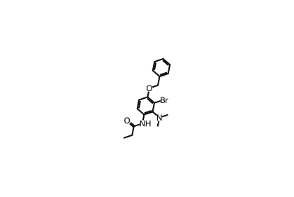 CCC(=O)Nc1ccc(OCc2ccccc2)c(Br)c1N(C)C